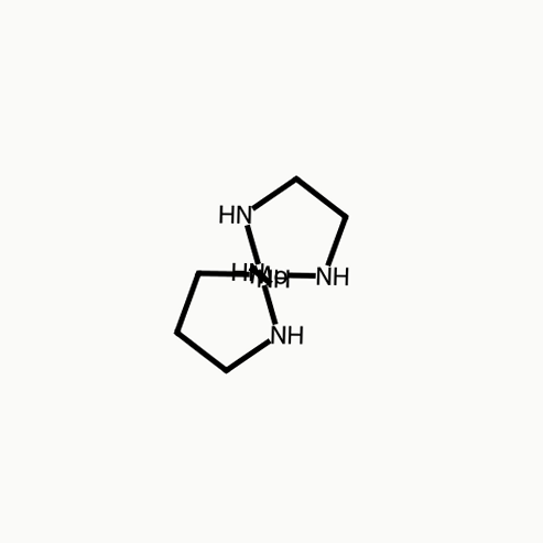 C1C[NH][Mo]23([CH2]1)([NH]CC[NH]2)[NH]CC[NH]3